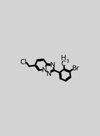 Cc1c(Br)cccc1-c1nc2ccc(CCl)cn2n1